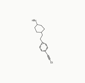 CCC#Cc1ccc(CCC2CCC(CCCC)CC2)cc1